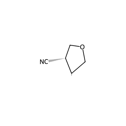 N#C[C@H]1[CH]COC1